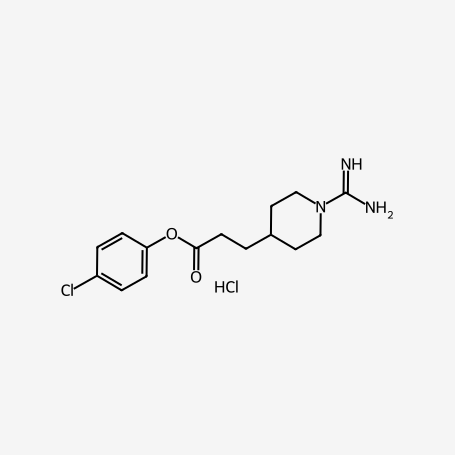 Cl.N=C(N)N1CCC(CCC(=O)Oc2ccc(Cl)cc2)CC1